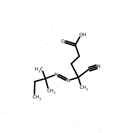 CCC(C)(C)N=NC(C)(C#N)CCC(=O)O